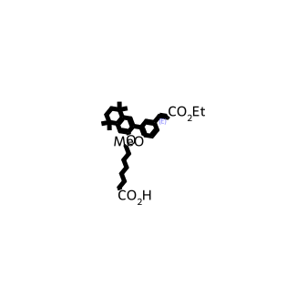 CCOC(=O)/C=C/c1ccc(OC)c(-c2cc3c(cc2OCCCCCCCC(=O)O)C(C)(C)CCC3(C)C)c1